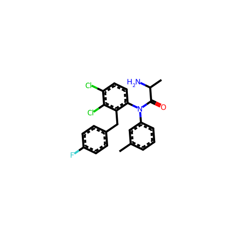 Cc1cccc(N(C(=O)C(C)N)c2ccc(Cl)c(Cl)c2Cc2ccc(F)cc2)c1